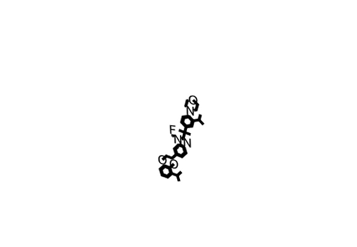 CC(C)c1cc(C(C)(C)c2nc3ccc(C4COc5cccc(C(C)C)c5O4)cc3n2CF)ccc1N1CCOCC1